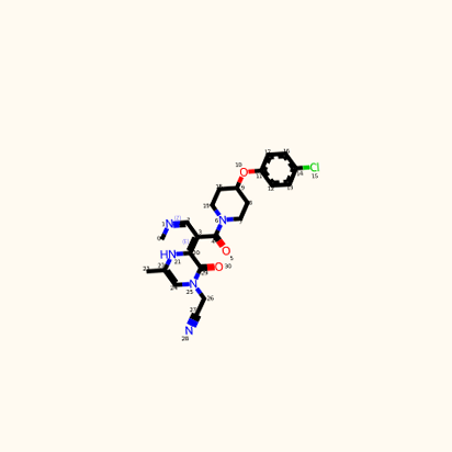 C/N=C\C(C(=O)N1CCC(Oc2ccc(Cl)cc2)CC1)=C1/NC(C)=CN(CC#N)C1=O